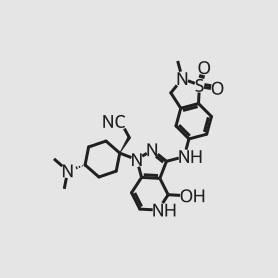 CN1Cc2cc(Nc3nn([C@]4(CC#N)CC[C@H](N(C)C)CC4)c4c3C(O)NC=C4)ccc2S1(=O)=O